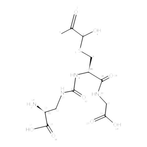 CC(=O)C(O)SC[C@H](NC(=O)NC[C@H](N)C(=O)O)C(=O)NCC(=O)O